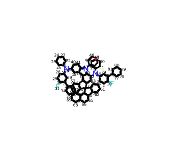 Fc1ccc(N(C2=CC=CCC2)c2cc3c(c4c5cc(N(c6ccccc6)c6ccc(F)c(-c7ccccc7)c6)ccc5n(C5=CCCC=C5)c24)-c2ccccc2C32c3ccccc3-c3ccc4ccccc4c32)cc1-c1ccccc1